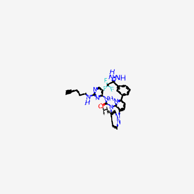 C#CCCCNc1nccc(NC(=O)N2c3nc(-c4cccc(C5(C(F)(F)F)NN5)c4)ccc3N3CC[C@H]2C3)n1